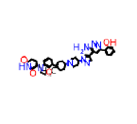 CC1(c2cccc3c2OCCN3[C@H]2CCC(=O)NC2=O)CCC(N2CCC(n3cc(-c4cc(-c5ccccc5O)nnc4N)cn3)CC2)CC1